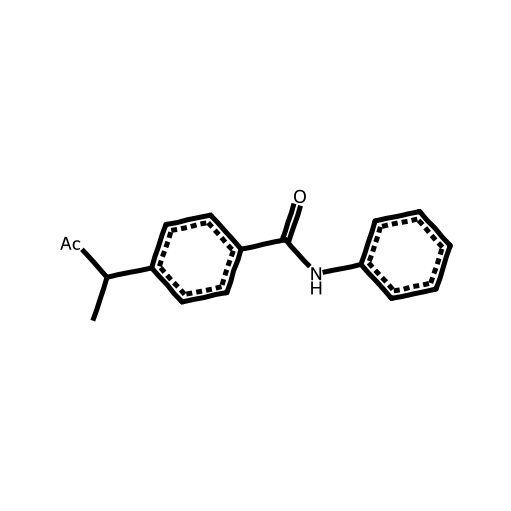 CC(=O)C(C)c1ccc(C(=O)Nc2ccccc2)cc1